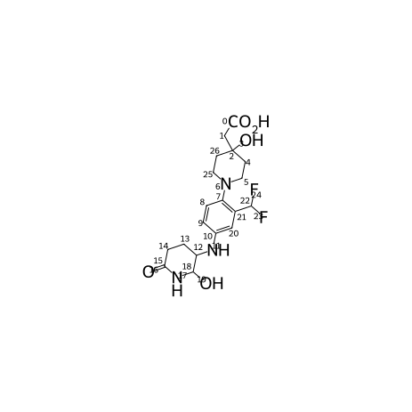 O=C(O)CC1(O)CCN(c2ccc(NC3CCC(=O)NC3O)cc2C(F)F)CC1